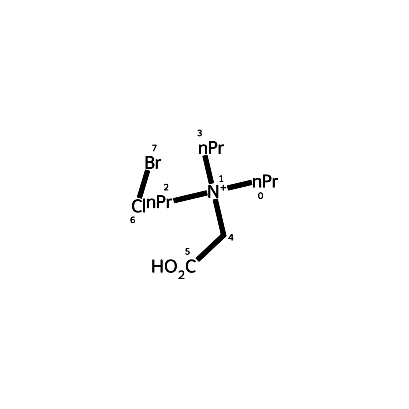 CCC[N+](CCC)(CCC)CC(=O)O.ClBr